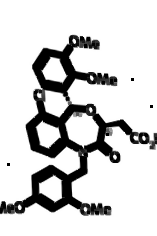 COc1ccc(CN2C(=O)[C@H](CC(=O)O)O[C@@H](c3cccc(OC)c3OC)c3c(Cl)cccc32)c(OC)c1